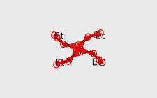 CCC1(COCCCCCCOc2ccc(C#Cc3ccc(C(=O)Oc4cc(OC(=O)c5ccc(C#Cc6ccc(OCCCCCCOCC7(CC)COC7)cc6)cc5)c(OC(=O)c5ccc(C#Cc6ccc(OCCCCCCOCC7(CC)COC7)cc6)cc5)cc4OC(=O)c4ccc(C#Cc5ccc(OCCCCCCOCC6(CC)COC6)cc5)cc4)cc3)cc2)COC1